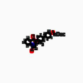 CCCCCCCCCCOc1ccc(-c2ccc(OC(=O)c3ccccc3N3C(=O)CC3C)cc2)cc1